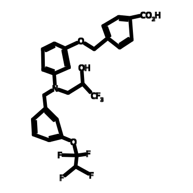 O=C(O)c1ccc(COc2cccc(N(Cc3cccc(OC(F)(F)C(F)F)c3)CC(O)C(F)(F)F)c2)cc1